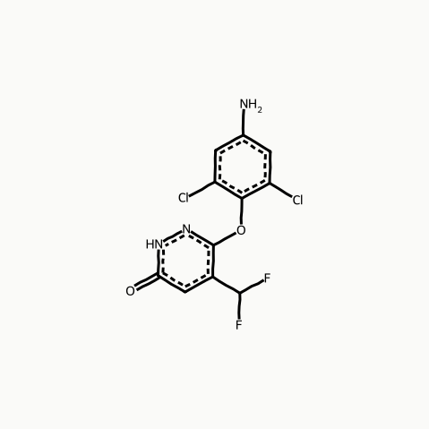 Nc1cc(Cl)c(Oc2n[nH]c(=O)cc2C(F)F)c(Cl)c1